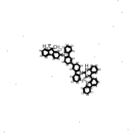 CN1C(c2cccc3c4c(sc23)C=CCC4)c2ccccc2NC1n1c2c(c3c1CCC(C1=Cc4c(n(C5C=C6C(=CC5)c5ccccc5C6(C)C)c5ccccc45)CC1)=C3)C=CCC2